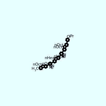 CCCCCCCCC1(CCCCCCCC)c2cc(C)ccc2-c2ccc(-c3ccc(-c4ccc5c(c4)C(CCCCCC)(CCCCCC)c4cc(-c6ccc(-c7ccc8c(c7)C(CCCCCCCC)(CCCCCCCC)c7cc(-c9ccc(OC(C)C)cc9)ccc7-8)c7nsnc67)ccc4-5)c4nsnc34)cc21